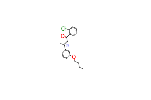 CCCCOc1cccc(/C(C)=C/C(=O)c2ccccc2Cl)c1